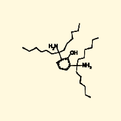 CCCCCCC(N)(CCCCCC)c1cccc(C(N)(CCCCCC)CCCCCC)c1O